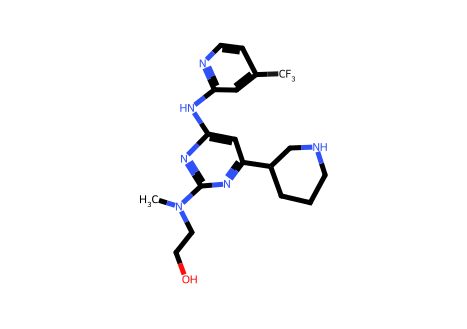 CN(CCO)c1nc(Nc2cc(C(F)(F)F)ccn2)cc(C2CCCNC2)n1